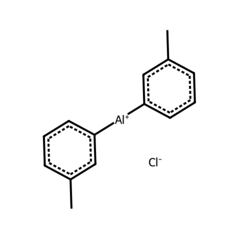 Cc1ccc[c]([Al+][c]2cccc(C)c2)c1.[Cl-]